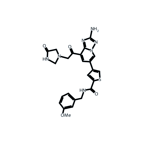 COc1cccc(CNC(=O)c2cc(-c3cc(C(=O)CN4CNC(=O)C4)c4nc(N)nn4c3)cs2)c1